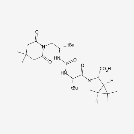 CC1(C)CC(=O)N(C[C@@H](NC(=O)N[C@H](C(=O)N2C[C@H]3[C@@H]([C@H]2C(=O)O)C3(C)C)C(C)(C)C)C(C)(C)C)C(=O)C1